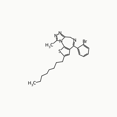 CCCCCCCCc1cc2c(s1)-n1c(C)nnc1CN=C2c1ccccc1Br